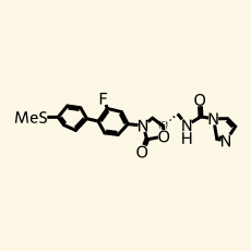 CSc1ccc(-c2ccc(N3C[C@H](CNC(=O)n4ccnc4)OC3=O)cc2F)cc1